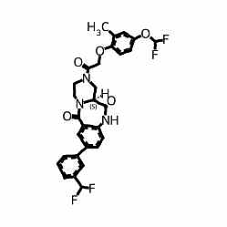 Cc1cc(OC(F)F)ccc1OCC(=O)N1CCN2C(=O)c3cc(-c4cccc(C(F)F)c4)ccc3NC(=O)[C@@H]2C1